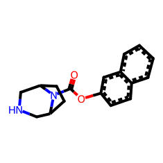 O=C(Oc1ccc2ccccc2c1)N1C2CCC1CNC2